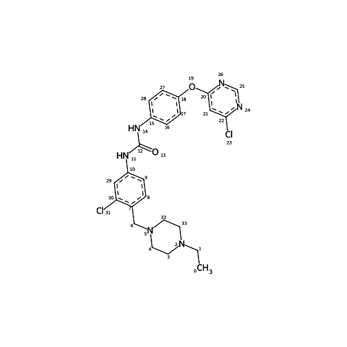 CCN1CCN(Cc2ccc(NC(=O)Nc3ccc(Oc4cc(Cl)ncn4)cc3)cc2Cl)CC1